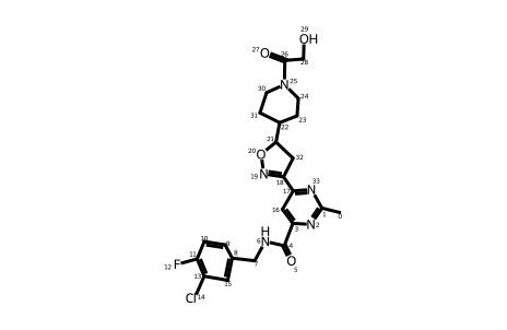 Cc1nc(C(=O)NCc2ccc(F)c(Cl)c2)cc(C2=NOC(C3CCN(C(=O)CO)CC3)C2)n1